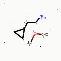 CC(C)(C)OC=O.NCCC1CC1